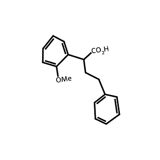 COc1ccccc1C(CCc1ccccc1)C(=O)O